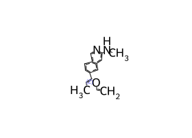 C=CO/C(=C\C)c1ccc2cnc(NC)cc2c1